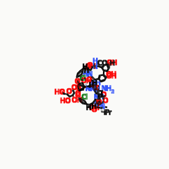 CC(C)C[C@H](C(=O)N[C@H]1C(=O)N[C@@H](CC(N)=O)C(=O)N[C@H]2C(=O)N[C@H]3C(=O)N[C@H](C(=O)N[C@H](C(=O)O)c4cc(O)cc(O)c4-c4cc3ccc4O)[C@H](O)c3ccc(c(Cl)c3)Oc3cc2cc(c3O[C@@H]2O[C@H](CO)[C@@H](O)[C@H](O)[C@H]2O[C@H]2C[C@](C)(N)[C@H](O)[C@H](C)O2)Oc2ccc(cc2Cl)[C@H]1O)N(C)C(=O)OC(C)C